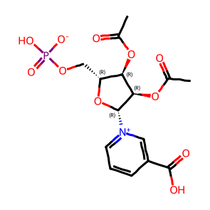 CC(=O)O[C@@H]1[C@H](OC(C)=O)[C@@H](COP(=O)([O-])O)O[C@H]1[n+]1cccc(C(=O)O)c1